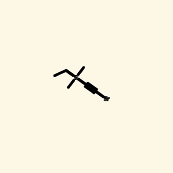 CC[Si](C)(C)C#CBr